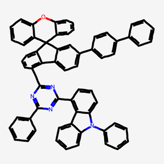 c1ccc(-c2ccc(-c3ccc4c(c3)C3(c5ccccc5Oc5ccccc53)c3cccc(-c5nc(-c6ccccc6)nc(-c6cccc7c6c6ccccc6n7-c6ccccc6)n5)c3-4)cc2)cc1